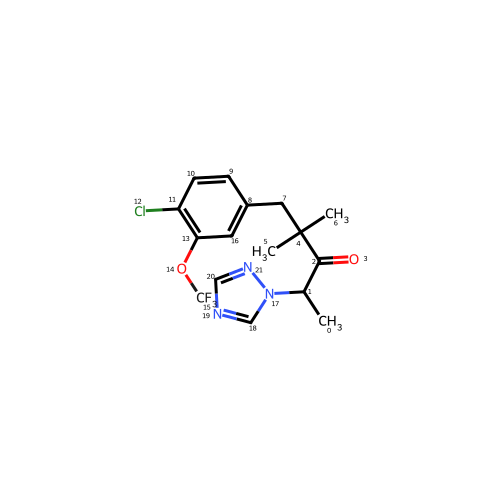 CC(C(=O)C(C)(C)Cc1ccc(Cl)c(OC(F)(F)F)c1)n1cncn1